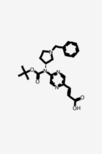 CC(C)(C)OC(=O)N(c1cnc(/C=C/C(=O)O)cn1)[C@@H]1CCN(Cc2ccccc2)C1